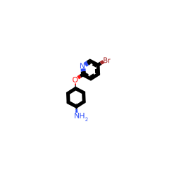 N[C@H]1CC[C@H](Oc2ccc(Br)cn2)CC1